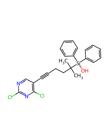 CC(C)(CCC#Cc1cnc(Cl)nc1Cl)[Si](O)(c1ccccc1)c1ccccc1